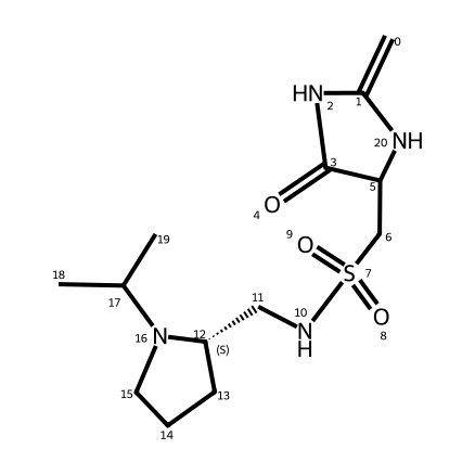 C=C1NC(=O)C(CS(=O)(=O)NC[C@@H]2CCCN2C(C)C)N1